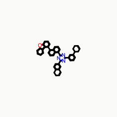 C1=Cc2cc(-c3nc(-c4cccc(C5CC=CCC5)c4)nc(-c4cccc5c(-c6cccc7oc8ccccc8c67)cccc45)n3)ccc2CC1